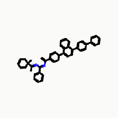 C=C(/N=C(\N=C(/C)C1(C)C=CC=CC1)c1ccccc1)C1=CCC(c2ccc(-c3ccc(-c4ccccc4)cc3)c3ccccc23)C=C1